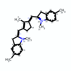 CC1=C(/C=C2/Cc3cc(C)ccc3N2C)CC/C1=C\C1=[N+](C)c2ccc(C)cc2C1